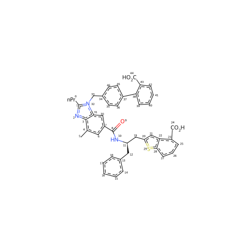 CCCc1nc2c(C)cc(C(=O)N[C@H](Cc3ccccc3)Cc3cc4c(C(=O)O)cccc4s3)cc2n1Cc1ccc(-c2ccccc2C(=O)O)cc1